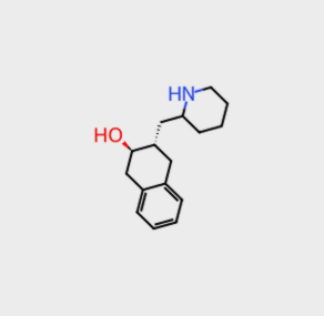 O[C@@H]1Cc2ccccc2C[C@H]1CC1CCCCN1